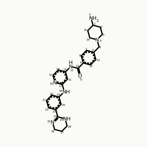 NC1CCN(Cc2ccc(C(=O)Nc3ccnc(Nc4cccc(C5=NCCCN5)c4)c3)cc2)CC1